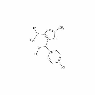 CCOC(c1ccc(Cl)cc1)c1[nH]c(C(F)(F)F)cc1[S+]([O-])C(F)(F)F